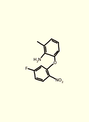 Cc1cccc(Oc2cc(F)ccc2[N+](=O)[O-])c1N